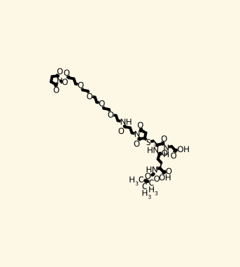 CC(C)(C)OC(=O)N[C@@H](CCC(=O)N[C@@H](CSC1CC(=O)N(CCC(=O)NCCOCCOCCOCCOCCC(=O)ON2C(=O)CCC2=O)C1=O)C(=O)NCC(=O)O)C(=O)O